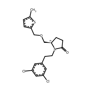 Cc1ccc(COC[C@H]2CCC(=O)N2CCc2cc(Cl)cc(Cl)c2)s1